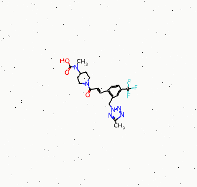 Cc1nnn(Cc2cc(C(F)(F)F)ccc2C=CC(=O)N2CCC(N(C)C(=O)O)CC2)n1